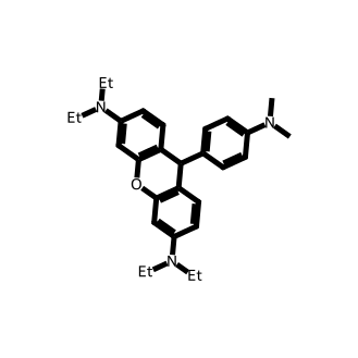 CCN(CC)c1ccc2c(c1)Oc1cc(N(CC)CC)ccc1C2c1ccc(N(C)C)cc1